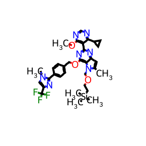 COc1ncnc(C2CC2)c1-c1nc(OCc2ccc(-c3nc(C(F)(F)F)cn3C)cc2)c2c(cc(C)n2COCC[Si](C)(C)C)n1